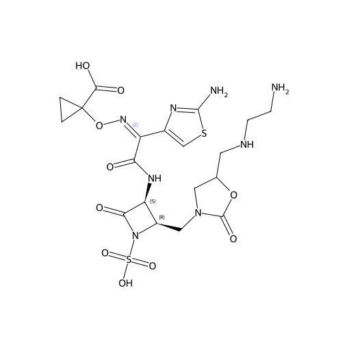 NCCNCC1CN(C[C@@H]2[C@H](NC(=O)/C(=N\OC3(C(=O)O)CC3)c3csc(N)n3)C(=O)N2S(=O)(=O)O)C(=O)O1